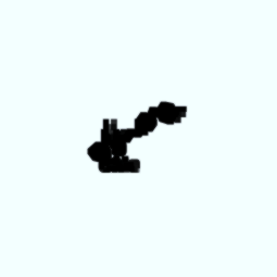 COc1cccc(NC(=O)NCCCN2CCC(=Cc3ccc(F)cc3)CC2)c1